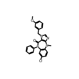 COc1cccc(Cn2cnc3c2C(=O)N(c2ccccc2)c2cc(Cl)ccc2N3C)c1